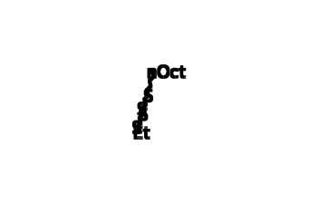 CCCCCCCCCCCCSCCSSCCSCC